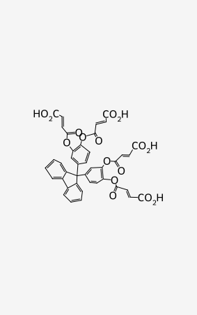 O=C(O)/C=C/C(=O)Oc1ccc(C2(c3ccc(OC(=O)/C=C/C(=O)O)c(OC(=O)/C=C/C(=O)O)c3)c3ccccc3-c3ccccc32)cc1OC(=O)/C=C/C(=O)O